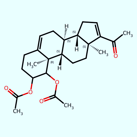 CC(=O)OC1CCC2=CC[C@H]3[C@@H]4CC=C(C(C)=O)[C@@]4(C)CC[C@@H]3[C@@]2(C)C1OC(C)=O